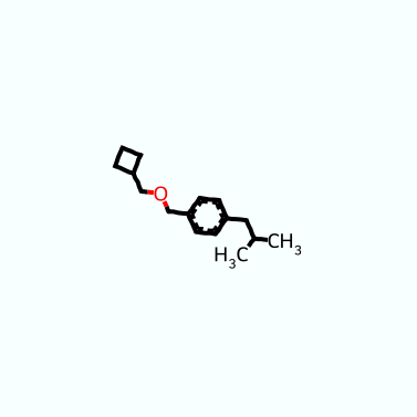 CC(C)Cc1ccc(COCC2CCC2)cc1